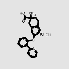 Cl.Cl.NC1(C(=O)O)CCc2ccc(Oc3ccccc3-c3ccccn3)cc2C1